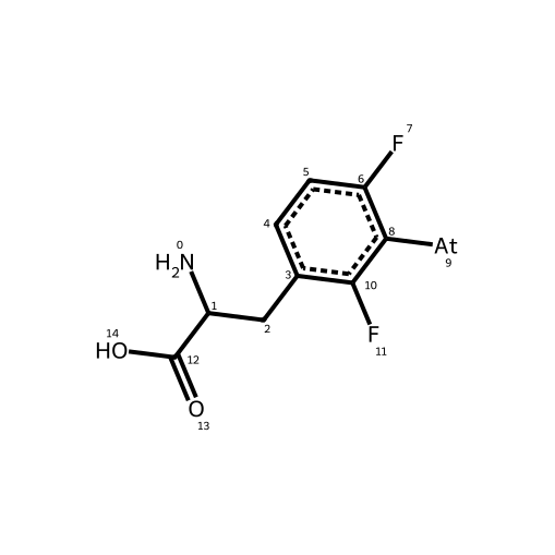 NC(Cc1ccc(F)c([At])c1F)C(=O)O